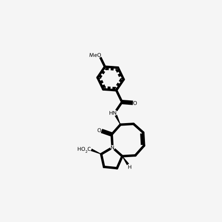 COc1ccc(C(=O)N[C@H]2C/C=C\C[C@@H]3CC[C@@H](C(=O)O)N3C2=O)cc1